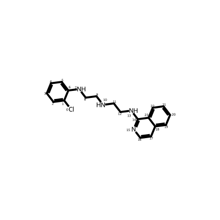 Clc1ccccc1NCCNCCNc1nccc2ccccc12